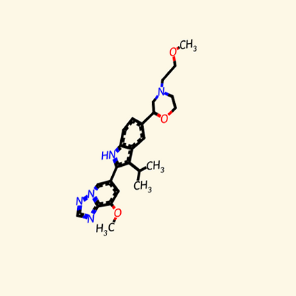 COCCN1CCOC(c2ccc3[nH]c(-c4cc(OC)c5ncnn5c4)c(C(C)C)c3c2)C1